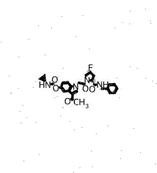 CC(=O)c1cn(CC(=O)N2C[C@H](F)C[C@H]2C(=O)NCc2ccccc2)c2ccc(OC(=O)NC3CC3)cc12